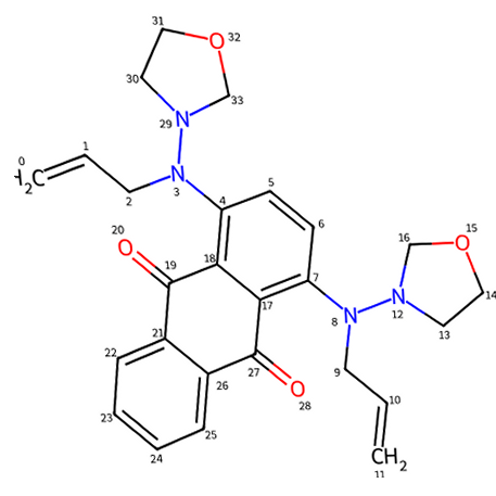 C=CCN(c1ccc(N(CC=C)N2CCOC2)c2c1C(=O)c1ccccc1C2=O)N1CCOC1